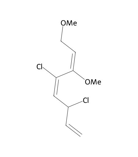 C=CC(Cl)/C=C(Cl)\C(=C/COC)OC